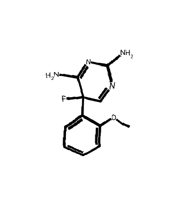 COc1ccccc1C1(F)C=NC(N)N=C1N